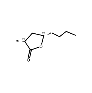 CCCC[C@H]1C[C@@H](C)C(=O)O1